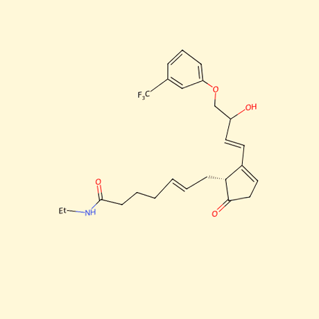 CCNC(=O)CCCC=CC[C@H]1C(=O)CC=C1C=CC(O)COc1cccc(C(F)(F)F)c1